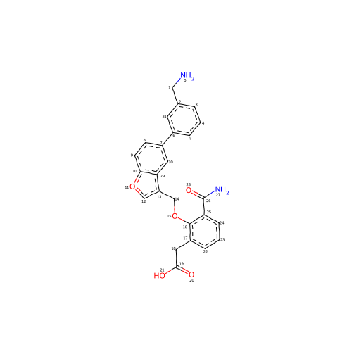 NCc1cccc(-c2ccc3occ(COc4c(CC(=O)O)cccc4C(N)=O)c3c2)c1